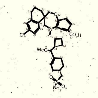 CO[C@H](C1=CC[C@H](CS(N)(=O)=O)CC1)[C@@H]1CC[C@H]1CN1C[C@@]2(CCCc3cc(Cl)ccc32)COc2ccc(C(=O)O)cc21